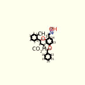 Cc1ccccc1C(CCC(=O)O)Oc1cc(OCc2ccccc2)ccc1C=NO